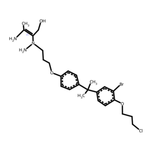 C/C(N)=C(\CO)N(N)CCCOc1ccc(C(C)(C)c2ccc(OCCCCl)c(Br)c2)cc1